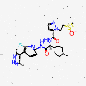 Cc1n[nH]c(C)c1-c1ccc(NC(=O)[C@@H](NC(=O)c2ccnn2CC[S+](C)[O-])[C@H]2CC[C@H](C)CC2)nc1F